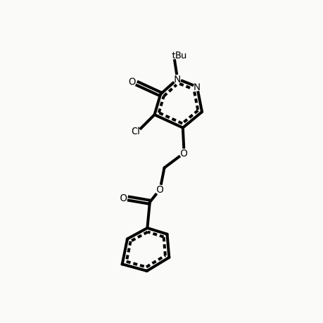 CC(C)(C)n1ncc(OCOC(=O)c2ccccc2)c(Cl)c1=O